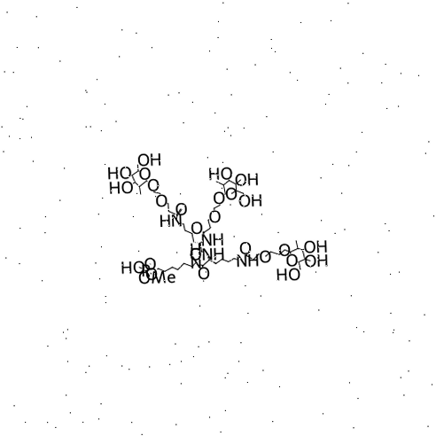 COP(=O)(O)OCCCCCCNC(=O)[C@H](CCCCNC(=O)CCOCCOC1OC(CO)C(O)C(O)C1C)NC(=O)[C@H](CCCCNC(=O)CCOCCOC1OC(CO)C(O)C(O)C1C)NC(=O)CCOCCOC1OC(CO)C(O)C(O)C1C